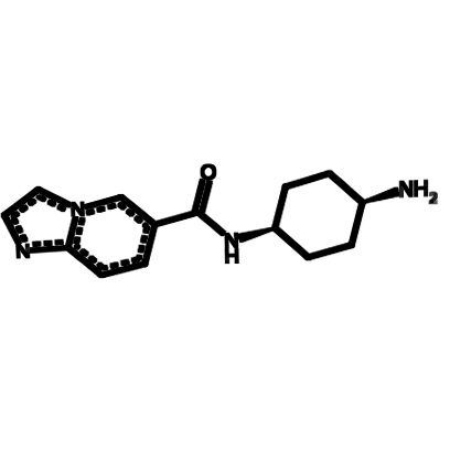 N[C@H]1CC[C@@H](NC(=O)c2ccc3nccn3c2)CC1